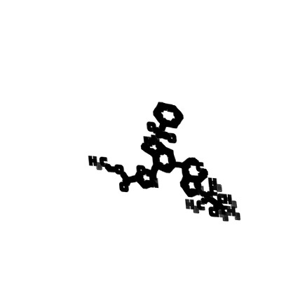 CCOC(=O)c1cnc(-c2cc(-c3cccc4c3ccn4S(C)(C)C(C)(C)C)cc3c2cnn3S(=O)(=O)c2ccccc2)o1